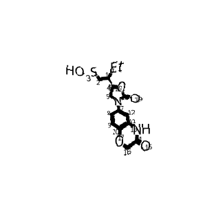 [CH2]CC(CS(=O)(=O)O)[C@@H]1CN(c2ccc3c(c2)NC(=O)CO3)C(=O)O1